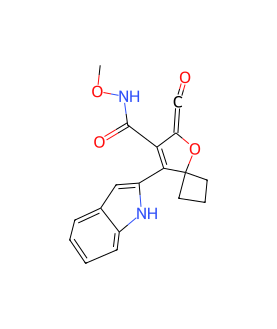 CONC(=O)C1=C(c2cc3ccccc3[nH]2)C2(CCC2)OC1=C=O